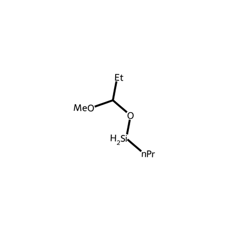 CCC[SiH2]OC(CC)OC